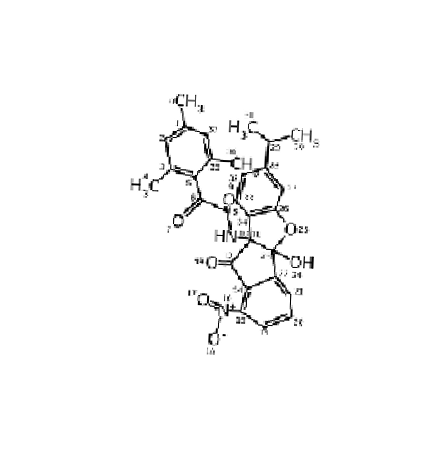 Cc1cc(C)c(C(=O)C(=O)NC23C(=O)c4c([N+](=O)[O-])cccc4C2(O)Oc2cc(C(C)C)ccc23)c(C)c1